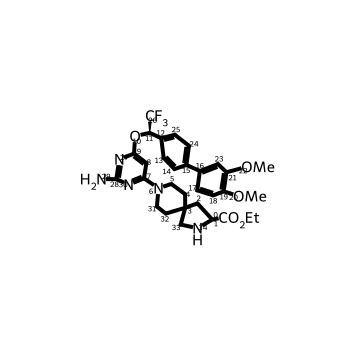 CCOC(=O)C1CC2(CCN(c3cc(O[C@H](c4ccc(-c5ccc(OC)c(OC)c5)cc4)C(F)(F)F)nc(N)n3)CC2)CN1